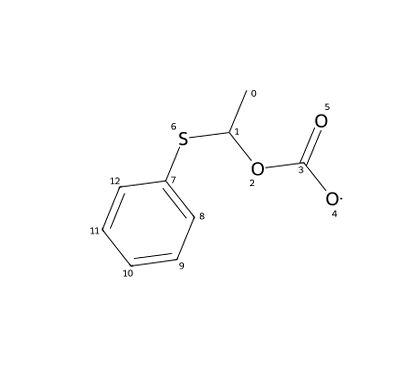 CC(OC([O])=O)Sc1ccccc1